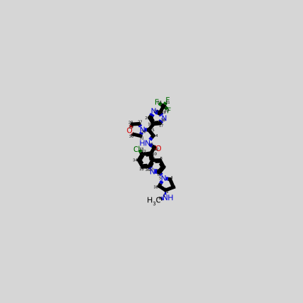 CN[C@@H]1CCN(c2ccc3c(C(=O)NCC(c4cnc(C(F)(F)F)nc4)N4CCOCC4)c(Cl)ccc3n2)C1